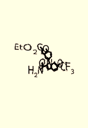 CCOC(=O)c1cc2cc(-n3c(C(N)=O)cc4ccc(OC(F)(F)F)cc43)ccc2o1